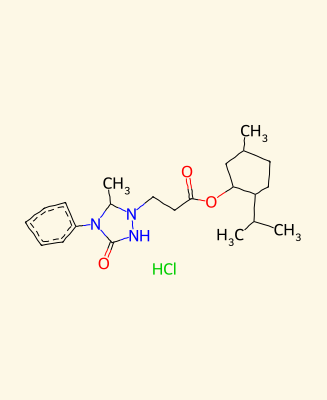 CC1CCC(C(C)C)C(OC(=O)CCN2NC(=O)N(c3ccccc3)C2C)C1.Cl